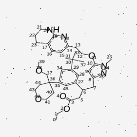 CCOC(=O)CC(Cc1cc(OCCc2ccc3c(n2)NCCC3)n(C)n1)c1cc(C(C)(C)C)cc(C2(COC)CCOCC2)c1